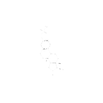 C[C@]12CC[C@@H]3c4ccc(OS(N)(=O)=O)cc4CC[C@H]3[C@@H]1C[C@@H](F)[C@@H]2O